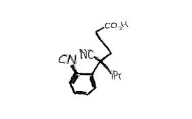 CC(C)C(C#N)(CCC(=O)O)c1ccccc1C#N